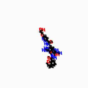 CC1(C)CCOc2c(C(=O)NC3CN4C(=N)N[C@@H](CNC(=O)c5ccc(OCCO)nn5)[C@@H]5NC(=N)N[C@@]54[C@@H]3O)cccc21